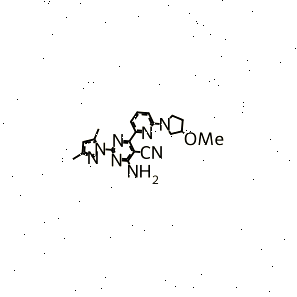 CO[C@@H]1CCN(c2cccc(-c3nc(-n4nc(C)cc4C)nc(N)c3C#N)n2)C1